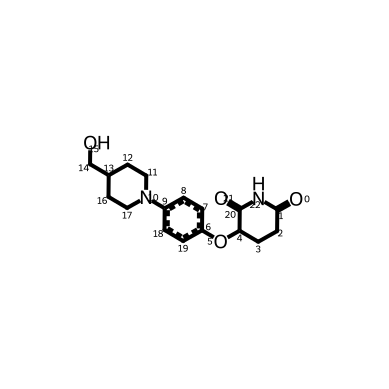 O=C1CCC(Oc2ccc(N3CCC(CO)CC3)cc2)C(=O)N1